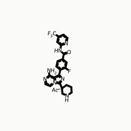 CC(=O)[C@]1(c2nc(-c3ccc(C(=O)Nc4cc(C(F)(F)F)ccn4)cc3F)c3c(N)nccn23)CCCNC1